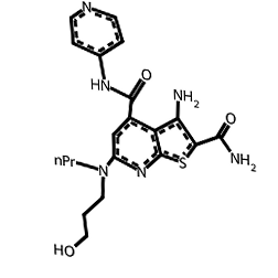 CCCN(CCCO)c1cc(C(=O)Nc2ccncc2)c2c(N)c(C(N)=O)sc2n1